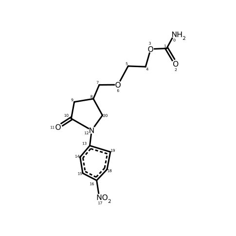 NC(=O)OCCOCC1CC(=O)N(c2ccc([N+](=O)[O-])cc2)C1